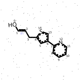 O/C=C/Cc1cc(-c2ccccn2)cs1